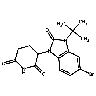 CC(C)(C)n1c(=O)n(C2CCC(=O)NC2=O)c2ccc(Br)cc21